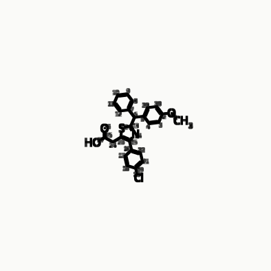 COc1ccc(C(c2ccccc2)c2nc(-c3ccc(Cl)cc3)c(CC(=O)O)s2)cc1